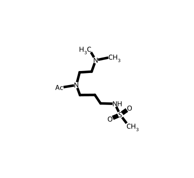 CC(=O)N(CCCNS(C)(=O)=O)CCN(C)C